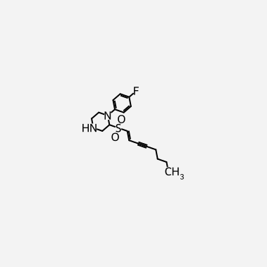 CCCCC#C/C=C/S(=O)(=O)C1CNCCN1c1ccc(F)cc1